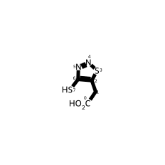 O=C(O)Cc1snnc1S